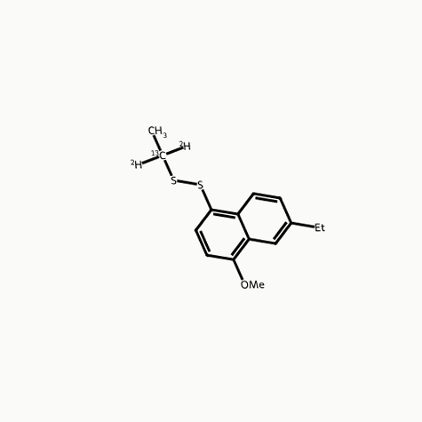 [2H][13C]([2H])(C)SSc1ccc(OC)c2cc(CC)ccc12